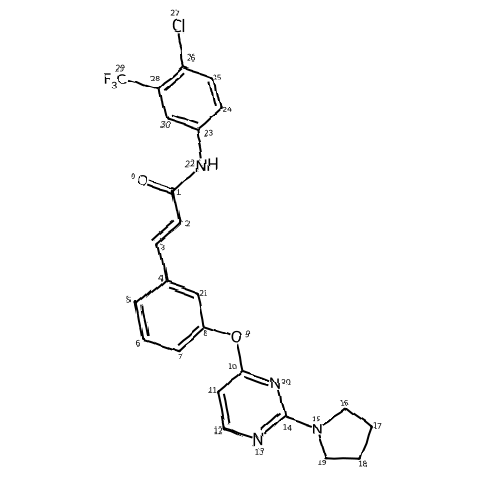 O=C(C=Cc1cccc(Oc2ccnc(N3CCCC3)n2)c1)Nc1ccc(Cl)c(C(F)(F)F)c1